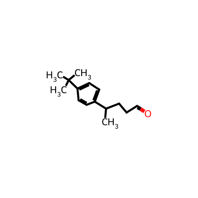 CC(CCC=O)c1ccc(C(C)(C)C)cc1